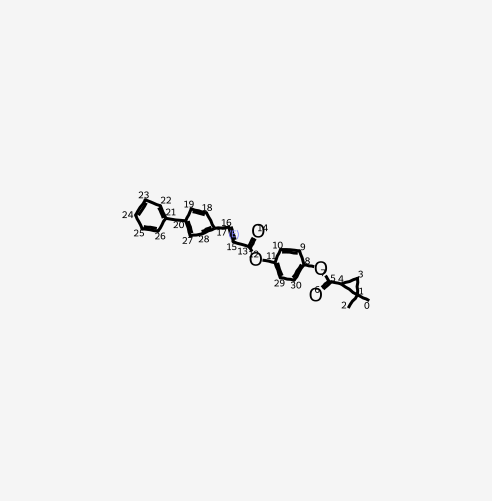 CC1(C)CC1C(=O)Oc1ccc(OC(=O)/C=C/c2ccc(-c3ccccc3)cc2)cc1